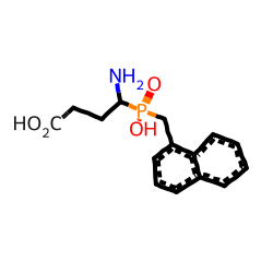 NC(CCC(=O)O)P(=O)(O)Cc1cccc2ccccc12